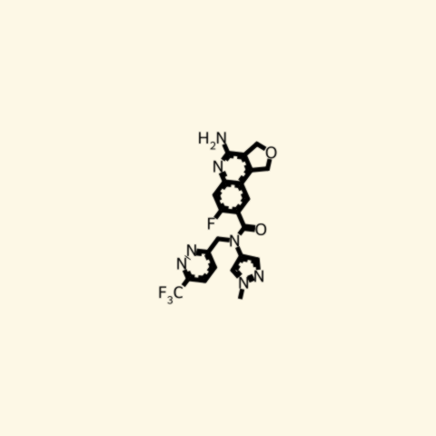 Cn1cc(N(Cc2ccc(C(F)(F)F)nn2)C(=O)c2cc3c4c(c(N)nc3cc2F)COC4)cn1